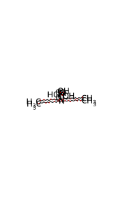 CCCCCCCCCCCCCNCCCCCCCCCCCCC.CCCCCCCCCCCCCNCCCCCCCCCCCCC.O=C(O)CC(C(=O)O)S(=O)(=O)O